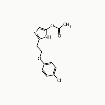 CC(=O)Oc1cnc(CCOc2ccc(Cl)cc2)[nH]1